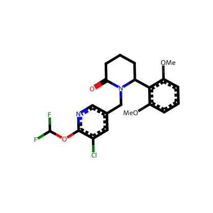 COc1cccc(OC)c1C1CCCC(=O)N1Cc1cnc(OC(F)F)c(Cl)c1